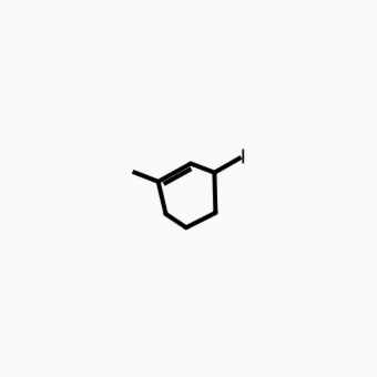 CC1=CC(I)CCC1